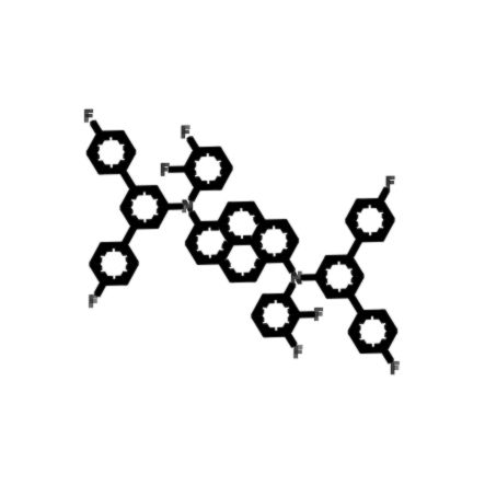 Fc1ccc(-c2cc(-c3ccc(F)cc3)cc(N(c3cccc(F)c3F)c3ccc4ccc5c(N(c6cc(-c7ccc(F)cc7)cc(-c7ccc(F)cc7)c6)c6cccc(F)c6F)ccc6ccc3c4c65)c2)cc1